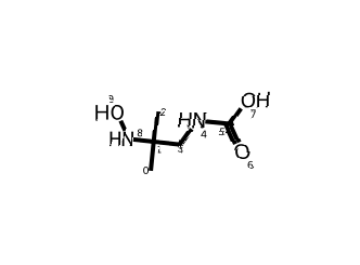 CC(C)(CNC(=O)O)NO